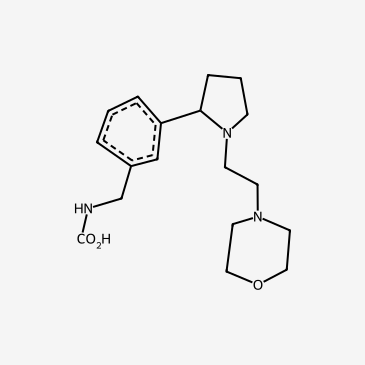 O=C(O)NCc1cccc(C2CCCN2CCN2CCOCC2)c1